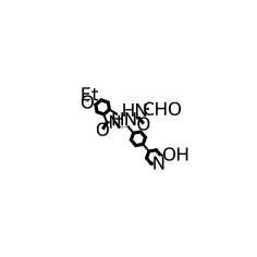 CCOc1ccc2c(c1)C(=O)N(C[C@H](NC(=O)NC=O)c1ccc(-c3ccnc(O)c3)cc1)C2